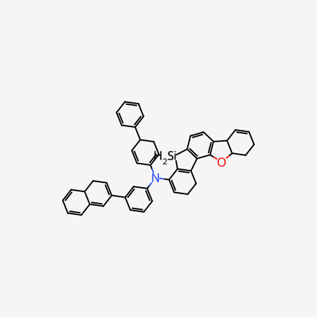 C1=CC2=CC(c3cccc(N(C4=CCC(c5ccccc5)C=C4)C4=CCCC5=C4[SiH2]c4ccc6c(c45)OC4CCC=CC64)c3)=CCC2C=C1